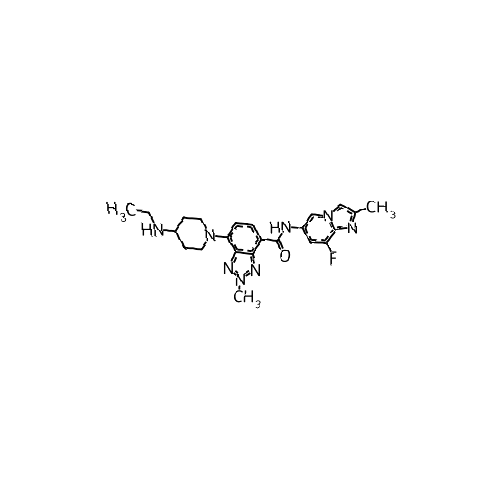 CCNC1CCN(c2ccc(C(=O)Nc3cc(F)c4nc(C)cn4c3)c3nn(C)nc23)CC1